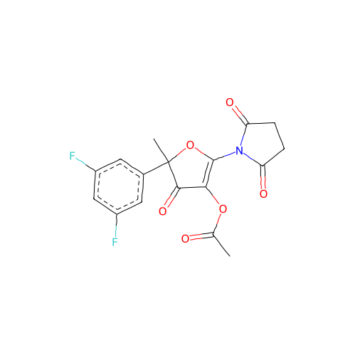 CC(=O)OC1=C(N2C(=O)CCC2=O)OC(C)(c2cc(F)cc(F)c2)C1=O